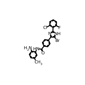 Cc1ccc(N)c(NC(=O)c2ccc(-c3nc(-c4c(F)cccc4Cl)[nH]c3Br)cc2)c1